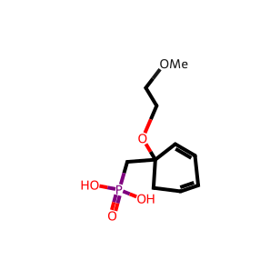 COCCOC1(CP(=O)(O)O)C=CC=CC1